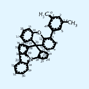 Cc1cc(C)cc(-c2cccc3c2Oc2ccccc2C32c3ccccc3-n3c4ccccc4c4cccc2c43)c1